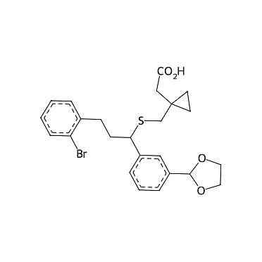 O=C(O)CC1(CSC(CCc2ccccc2Br)c2cccc(C3OCCO3)c2)CC1